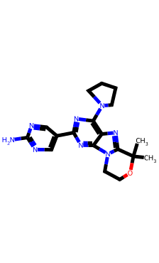 CC1(C)OCCn2c1nc1c(N3CCCC3)nc(-c3cnc(N)nc3)nc12